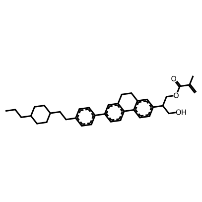 C=C(C)C(=O)OCC(CO)c1ccc2c(c1)CCc1cc(-c3ccc(CCC4CCC(CCC)CC4)cc3)ccc1-2